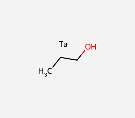 CCCO.[Ta]